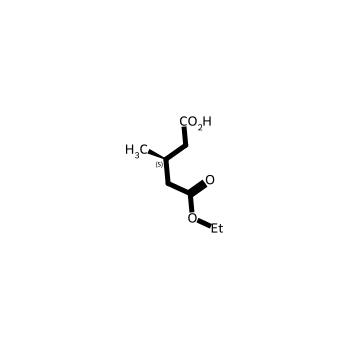 CCOC(=O)C[C@@H](C)CC(=O)O